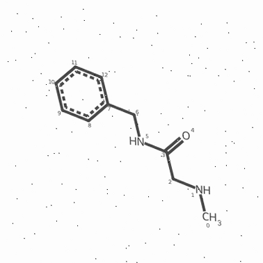 CNCC(=O)N[CH]c1ccccc1